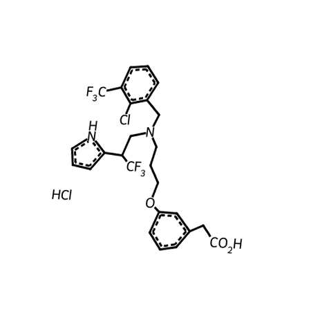 Cl.O=C(O)Cc1cccc(OCCCN(Cc2cccc(C(F)(F)F)c2Cl)CC(c2ccc[nH]2)C(F)(F)F)c1